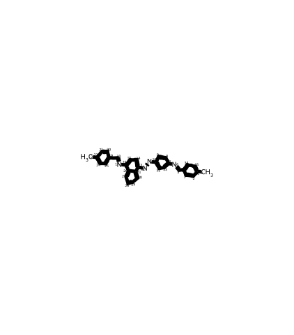 Cc1ccc(C=Nc2ccc(N=Nc3ccc(N=Cc4ccc(C)cc4)c4ccccc34)cc2)cc1